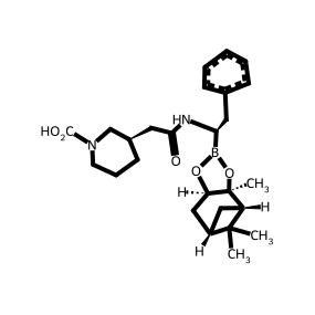 CC1(C)[C@@H]2C[C@H]3OB([C@H](Cc4ccccc4)NC(=O)C[C@H]4CCCN(C(=O)O)C4)O[C@@]3(C)[C@H]1C2